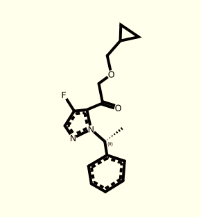 C[C@H](c1ccccc1)n1ncc(F)c1C(=O)COCC1CC1